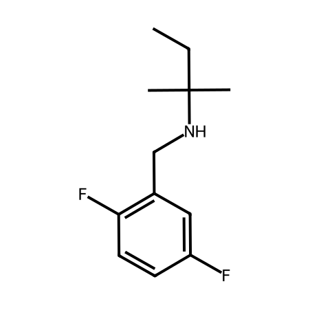 CCC(C)(C)NCc1cc(F)ccc1F